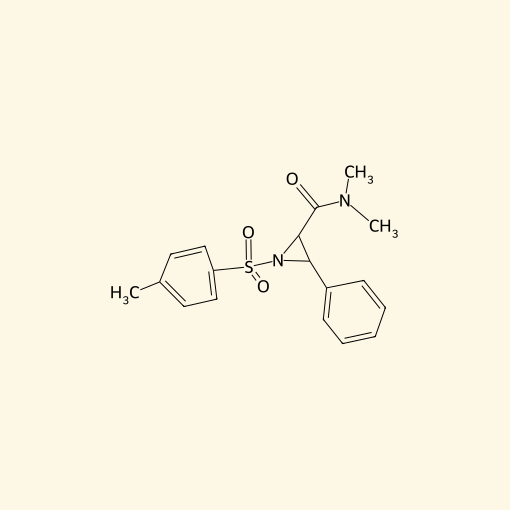 Cc1ccc(S(=O)(=O)N2C(C(=O)N(C)C)C2c2ccccc2)cc1